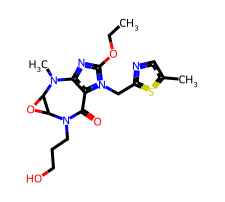 CCOc1nc2c(n1Cc1ncc(C)s1)C(=O)N(CCCO)C1OC1N2C